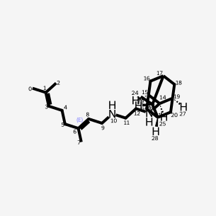 CC(C)=CCC/C(C)=C/CNCCN[C@H]1[C@@H]2CC3C[C@H]1C[C@H](C2)[C@@H]3C